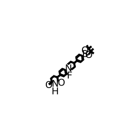 CC1(C)OB(c2ccc(C3CCN(c4ccc(C5CCC(=O)NC5=O)cc4F)CC3)cc2)OC1(C)C